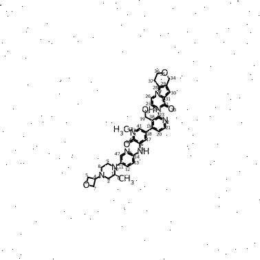 C[C@H]1CN(C2COC2)CCN1c1ccc(Nc2cc(-c3ccnc(-n4ccn5c6c(cc5c4=O)COCC6)c3CO)cn(C)c2=O)nc1